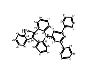 c1ccc(-c2cc(-c3ccccc3)cc(N3c4ccccc4-c4[nH]c5ccccc5c4-c4ccccc43)c2)cc1